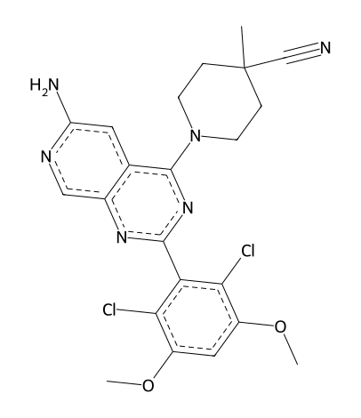 COc1cc(OC)c(Cl)c(-c2nc(N3CCC(C)(C#N)CC3)c3cc(N)ncc3n2)c1Cl